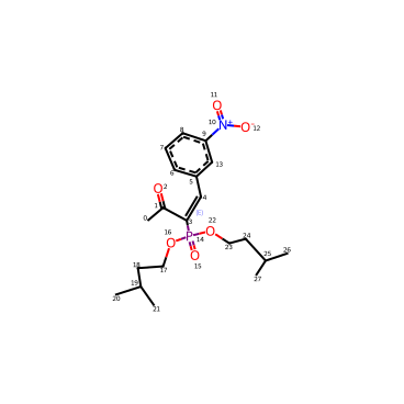 CC(=O)/C(=C\c1cccc([N+](=O)[O-])c1)P(=O)(OCCC(C)C)OCCC(C)C